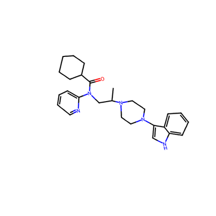 CC(CN(C(=O)C1CCCCC1)c1ccccn1)N1CCN(c2c[nH]c3ccccc23)CC1